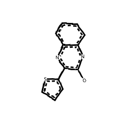 [O]c1nc2ccccc2nc1-c1cccs1